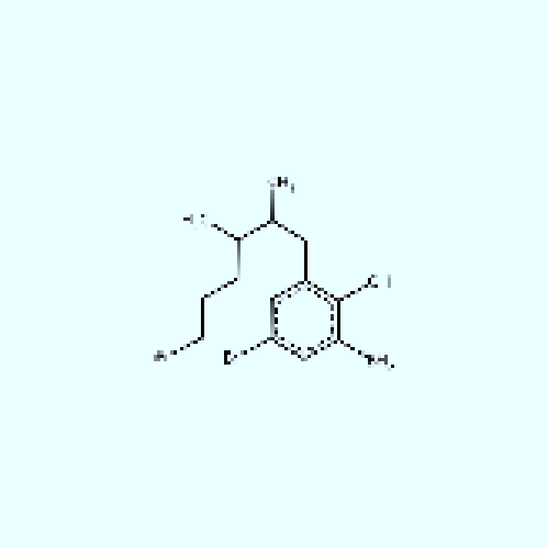 Bc1cc(Br)cc(CC(C)C(C)CCCC(C)C)c1O